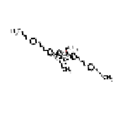 CCCCC[C@H]1CC[C@H](CCCCc2ccc(C(=O)O[C@@](CCCC)(C(=O)O)[C@@](CCCC)(OC(=O)c3ccc(CCCC[C@H]4CC[C@H](CCCCC)CC4)cc3)C(=O)O)cc2)CC1